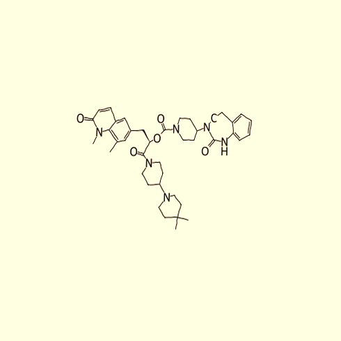 Cc1cc(C[C@@H](OC(=O)N2CCC(N3CCc4ccccc4NC3=O)CC2)C(=O)N2CCC(N3CCC(C)(C)CC3)CC2)cc2ccc(=O)n(C)c12